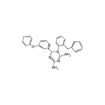 NC1=NC(c2cccc(Oc3ccccc3)c2)N(c2ccccc2Cc2ccccc2)C(N)=N1